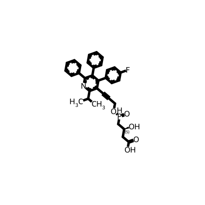 CC(C)c1nc(-c2ccccc2)c(-c2ccccc2)c(-c2ccc(F)cc2)c1C#CCO[PH](=O)C[C@@H](O)CC(=O)O